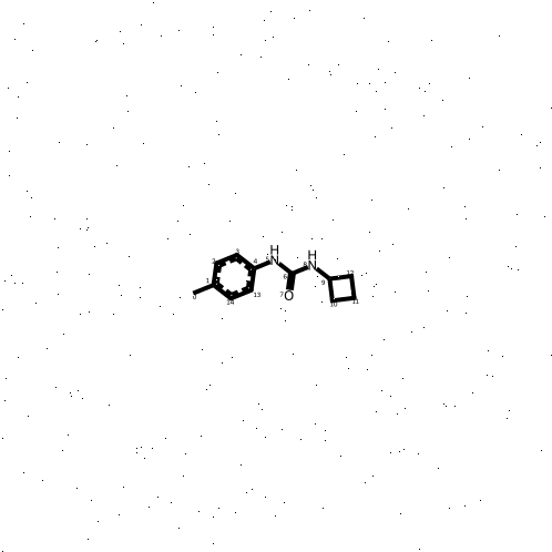 Cc1ccc(NC(=O)NC2CCC2)cc1